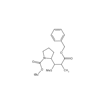 CSC(C(C)C(=O)OCc1ccccc1)C1CCCN1C(=O)OC(C)(C)C